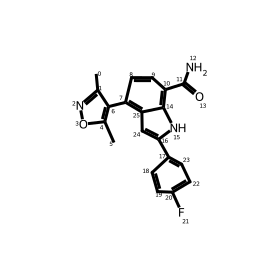 Cc1noc(C)c1-c1ccc(C(N)=O)c2[nH]c(-c3ccc(F)cc3)cc12